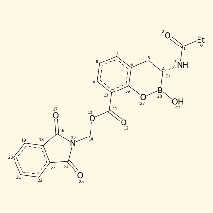 CCC(=O)N[C@H]1Cc2cccc(C(=O)OCN3C(=O)c4ccccc4C3=O)c2OB1O